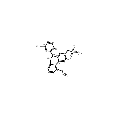 CCc1cccc2c1-c1ccc(CS(N)(=O)=O)cc1C(c1cccc(F)c1)O2